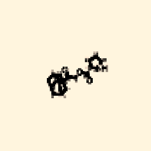 O=C(OCC(=O)C12CC3CC(CC(C3)C1)C2)[C@@H]1CCCN1